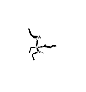 CCC[Si](CC)(NCC)NCC